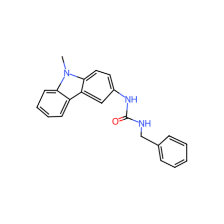 Cn1c2ccccc2c2cc(NC(=O)NCc3ccccc3)ccc21